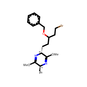 COC1=N[C@H](CCC(CCBr)OCc2ccccc2)C(OC)=N[C@H]1C(C)C